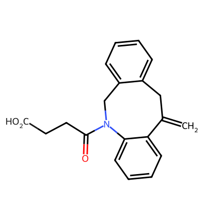 C=C1Cc2ccccc2CN(C(=O)CCC(=O)O)c2ccccc21